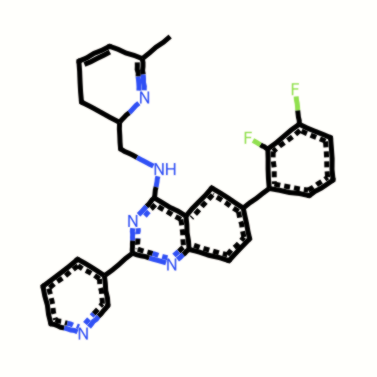 CC1=NC(CNc2nc(-c3cccnc3)nc3ccc(-c4cccc(F)c4F)cc23)CC=C1